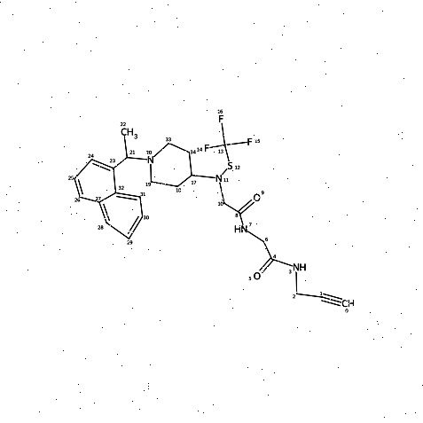 C#CCNC(=O)CNC(=O)CN(SC(F)(F)F)C1CCN(C(C)c2cccc3ccccc23)CC1